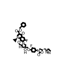 O=C(OCc1ccccc1)c1cn(C2CC2)c2c3c(c(F)cc2c1=O)N1C[C@](O)(COc2ccc(N4C[C@H](Cn5ccnn5)OC4=O)cc2F)C[C@H]1CO3